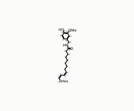 CCCCCC/C=C\C=C/CCCCCCCC(=O)NCc1ccc(O)c(OC)c1